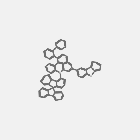 c1ccc(-c2ccccc2-c2ccccc2-c2ccccc2N(c2cccc(-c3ccc4oc5ccccc5c4c3)c2)c2cccc3c2-c2ccccc2C32c3ccccc3-c3ccccc32)cc1